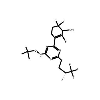 C[C@H](CCc1nc(NOC(C)(C)C)nc(C2=C(F)C(O)C(F)(F)CC2)n1)C(F)(F)F